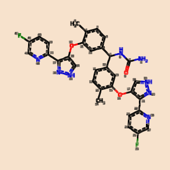 Cc1ccc(C(NC(N)=O)c2ccc(C)c(Oc3c[nH]nc3-c3ccc(F)cn3)c2)cc1Oc1c[nH]nc1-c1ccc(F)cn1